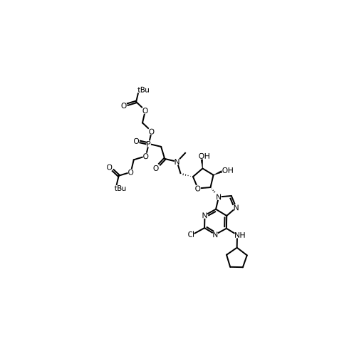 CN(C[C@H]1O[C@@H](n2cnc3c(NC4CCCC4)nc(Cl)nc32)[C@H](O)[C@@H]1O)C(=O)CP(=O)(OCOC(=O)C(C)(C)C)OCOC(=O)C(C)(C)C